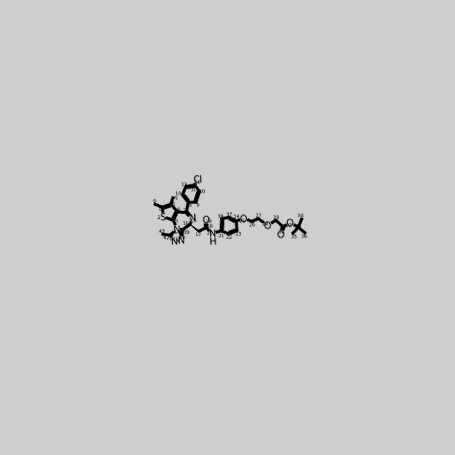 Cc1sc2c(c1C)C(c1ccc(Cl)cc1)=N[C@@H](CC(=O)Nc1ccc(OCCOCC(=O)OC(C)(C)C)cc1)c1nnc(C)n1-2